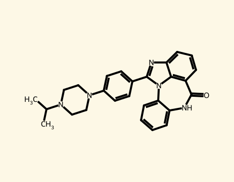 CC(C)N1CCN(c2ccc(-c3nc4cccc5c4n3-c3ccccc3NC5=O)cc2)CC1